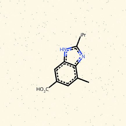 Cc1cc(C(=O)O)cc2[nH]c(C(C)C)nc12